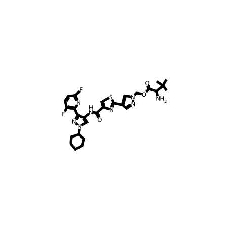 CC(C)(C)C(N)C(=O)OCn1cc(-c2nc(C(=O)Nc3cn(C4CCCCC4)nc3-c3nc(F)ccc3F)cs2)cn1